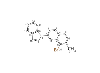 Cc1ccc2ccc(C3C=Cc4ccccc43)cc2c1Br